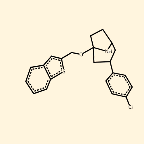 Clc1ccc(C2CC3CCC(OCc4cc5ccccc5s4)(C2)N3)cc1